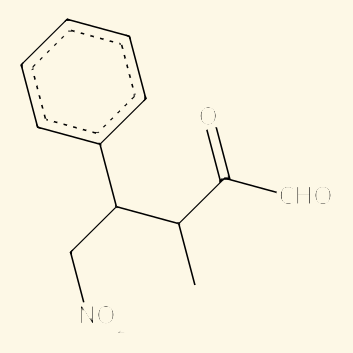 CC(C(=O)C=O)C(C[N+](=O)[O-])c1ccccc1